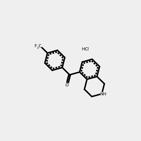 Cl.O=C(c1ccc(C(F)(F)F)cc1)c1cccc2c1CCNC2